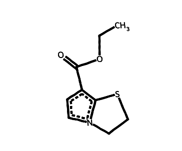 CCOC(=O)c1ccn2c1SCC2